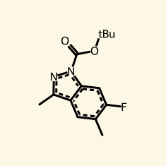 Cc1cc2c(C)nn(C(=O)OC(C)(C)C)c2cc1F